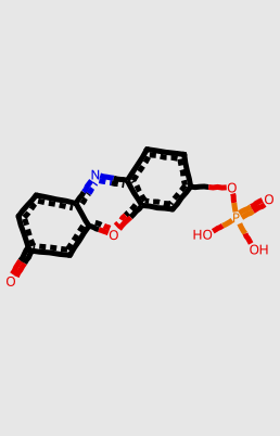 O=c1ccc2nc3ccc(OP(=O)(O)O)cc3oc-2c1